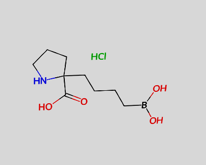 Cl.O=C(O)C1(CCCCB(O)O)CCCN1